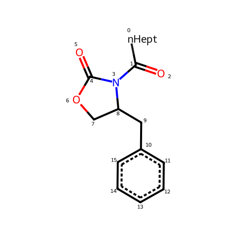 CCCCCCCC(=O)N1C(=O)OCC1Cc1ccccc1